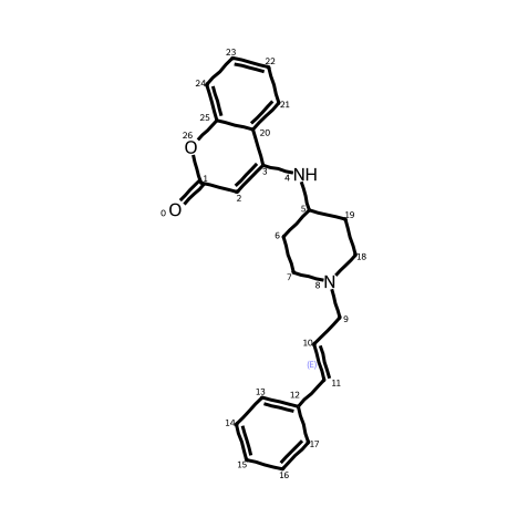 O=c1cc(NC2CCN(C/C=C/c3ccccc3)CC2)c2ccccc2o1